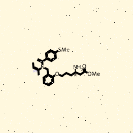 C=C(c1ccc(SC)cc1)N(Cc1ccccc1OCCC[C@@H](N)CC(=O)OC)/C(C)=C\C